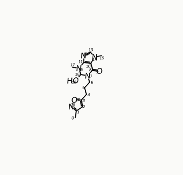 Cc1cc(CCCN2C(=O)c3c(ncn3C)N(C)C2O)on1